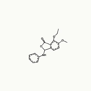 CCOc1c(OC)ccc2c1C(=O)OC2Nc1ccccc1